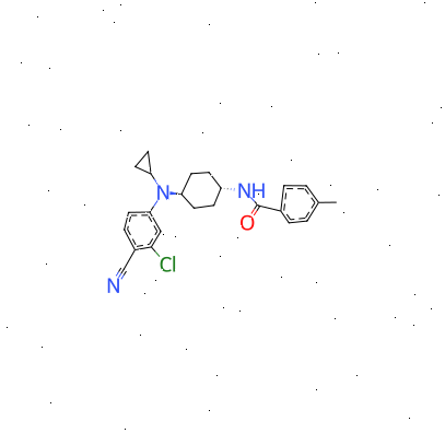 Cc1ccc(C(=O)N[C@H]2CC[C@H](N(c3ccc(C#N)c(Cl)c3)C3CC3)CC2)cc1